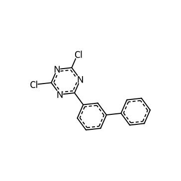 Clc1nc(Cl)nc(-c2cccc(-c3ccccc3)c2)n1